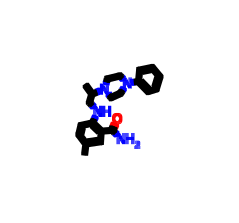 Cc1ccc(NCC(C)N2CCN(c3ccccc3)CC2)c(C(N)=O)c1